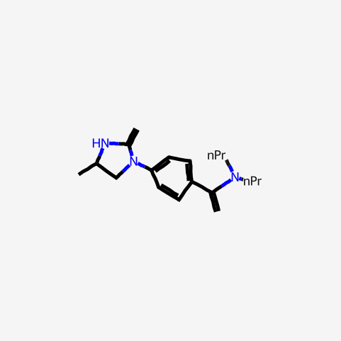 C=C(c1ccc(N2CC(C)NC2=C)cc1)N(CCC)CCC